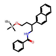 CC(C)(C)[Si](C)(C)OCCC(CNC(=O)c1ccccc1)c1ccc2ccccc2c1